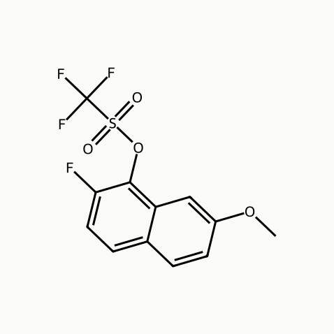 COc1ccc2ccc(F)c(OS(=O)(=O)C(F)(F)F)c2c1